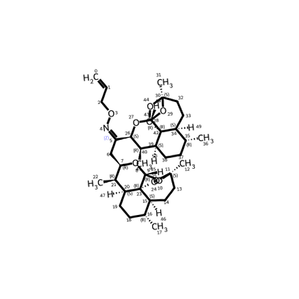 C=CCO/N=C(/C[C@H]1O[C@@H]2O[C@]3(C)CC[C@H]4[C@H](C)CC[C@@H]([C@H]1C)[C@@]24OO3)[C@H]1O[C@@H]2O[C@]3(C)CC[C@H]4[C@H](C)CC[C@@H]([C@H]1C)[C@@]24OO3